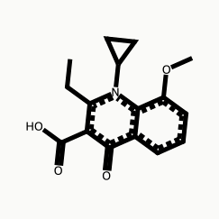 CCc1c(C(=O)O)c(=O)c2cccc(OC)c2n1C1CC1